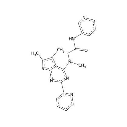 Cc1sc2nc(-c3ccccn3)nc(N(C)CC(=O)Nc3cccnc3)c2c1C